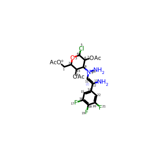 CC(=O)OCC1OC(Cl)C(OC(C)=O)C(N(N)/C=C(\N)c2cc(F)c(F)c(F)c2)C1OC(C)=O